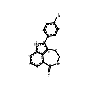 CC(C)(C)c1ccc(-c2[nH]c3cccc4c3c2CCNC4=O)cc1